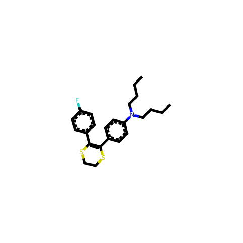 CCCCN(CCCC)c1ccc(C2=C(c3ccc(F)cc3)SCCS2)cc1